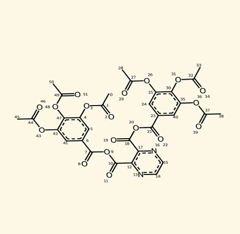 CC(=O)Oc1cc(C(=O)OC(=O)c2nccnc2C(=O)OC(=O)c2cc(OC(C)=O)c(OC(C)=O)c(OC(C)=O)c2)cc(OC(C)=O)c1OC(C)=O